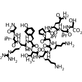 CC(C)[C@H](NC(=O)CN)C(=O)N[C@@H](CCCN=C(N)N)C(=O)N[C@@H](Cc1ccc(O)cc1)C(=O)N[C@H](C(=O)N[C@@H](CCCCN)C(=O)N[C@@H](CCCCN)C(=O)N[C@H](C(=O)N1CCC[C@H]1C(=O)N[C@@H](CCC(N)=O)C(=O)N[C@H](C(=O)N[C@@H](CO)C(=O)O)C(C)C)C(C)C)[C@@H](C)O